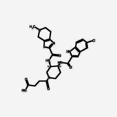 CN1CCc2nc(C(=O)N[C@@H]3CN(C(=O)CCC(=O)O)CC[C@@H]3NC(=O)c3cc4cc(Cl)ccc4[nH]3)sc2C1